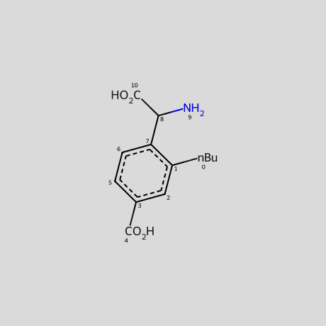 CCCCc1cc(C(=O)O)ccc1C(N)C(=O)O